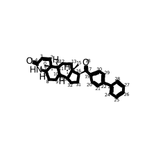 C[C@]12C=CC(=O)N[C@@H]1CC[C@@H]1[C@@H]2CC[C@]2(C)[C@@H](C(=O)c3ccc(-c4ccccc4)cc3)CC[C@@H]12